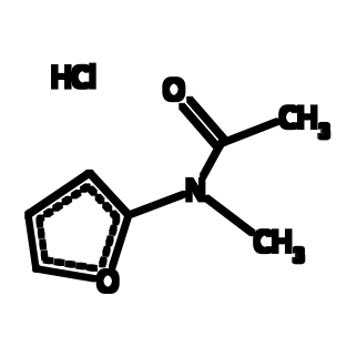 CC(=O)N(C)c1ccco1.Cl